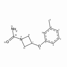 Cc1cccc(OC2CN(C(N)=O)C2)c1